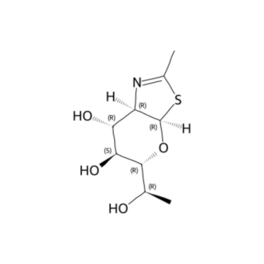 CC1=N[C@@H]2[C@@H](O)[C@H](O)[C@@H]([C@@H](C)O)O[C@@H]2S1